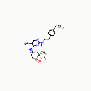 CCc1ccc(CCNc2ncc(C#N)c(N[C@@H]3CC[C@H](O)C(C)(C)C3)n2)cc1